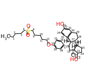 CCCCCS(=O)(=O)CCCCCOc1ccc([C@H]2C[C@]3(C)[C@@H](O)CC[C@H]3[C@@H]3CCc4cc(O)ccc4[C@H]32)cc1